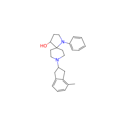 Cc1cccc2c1CC(N1CCC3(CC1)C(O)CCN3c1ccccc1)C2